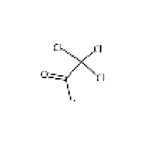 [CH2]C(=O)C(Cl)(Cl)Cl